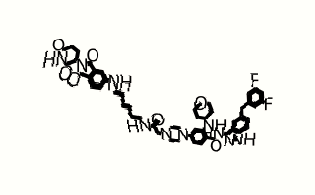 O=C(CN1CCN(c2ccc(C(=O)Nc3n[nH]c4ccc(Cc5cc(F)cc(F)c5)cc34)c(NC3CCOCC3)c2)CC1)NCCCCCCNc1ccc2c(c1)C(=O)N(C1CCC(=O)NC1=O)C2=O